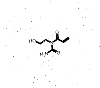 C=CC(=O)N(CCO)C(N)=O